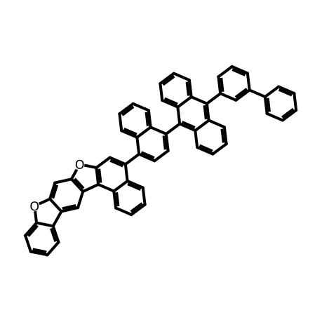 c1ccc(-c2cccc(-c3c4ccccc4c(-c4ccc(-c5cc6oc7cc8oc9ccccc9c8cc7c6c6ccccc56)c5ccccc45)c4ccccc34)c2)cc1